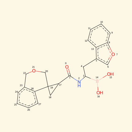 O=C(NC(Cc1coc2ccccc12)B(O)O)C1CC12COCc1ccccc12